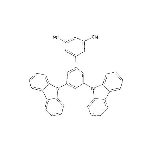 N#Cc1cc(C#N)cc(-c2cc(-n3c4ccccc4c4ccccc43)cc(-n3c4ccccc4c4ccccc43)c2)c1